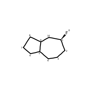 F[C@H]1CCCC2CCCC2C1